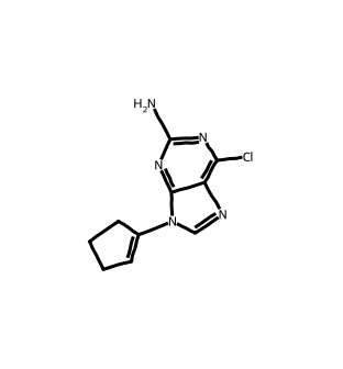 Nc1nc(Cl)c2ncn(C3=CCCC3)c2n1